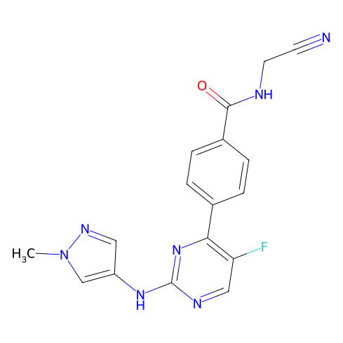 Cn1cc(Nc2ncc(F)c(-c3ccc(C(=O)NCC#N)cc3)n2)cn1